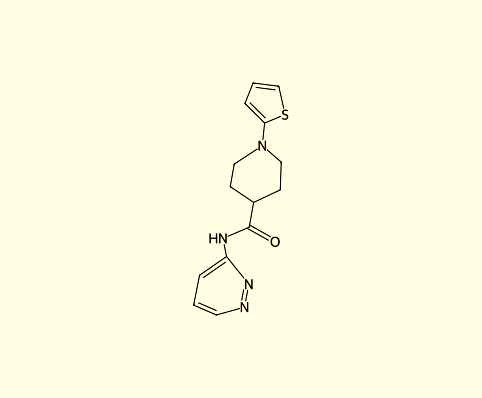 O=C(Nc1cccnn1)C1CCN(c2cccs2)CC1